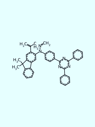 C=NN(c1ccc(-c2nc(-c3ccccc3)nc(-c3ccccc3)n2)cc1)c1cc2c(cc1C(=C)C)C(C)(C)c1ccccc1-2